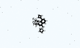 O=S(=O)(OF)C(F)(F)c1cc(CN2CCCC2)c2cccc(C3CCC3)c2n1